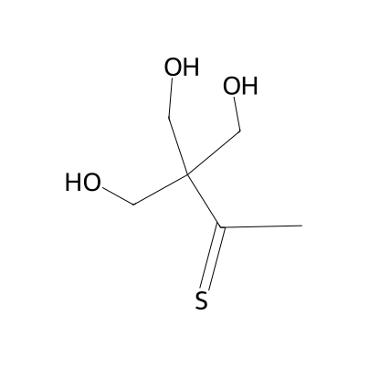 CC(=S)C(CO)(CO)CO